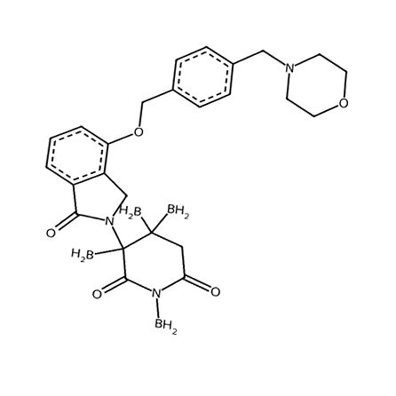 BN1C(=O)CC(B)(B)C(B)(N2Cc3c(OCc4ccc(CN5CCOCC5)cc4)cccc3C2=O)C1=O